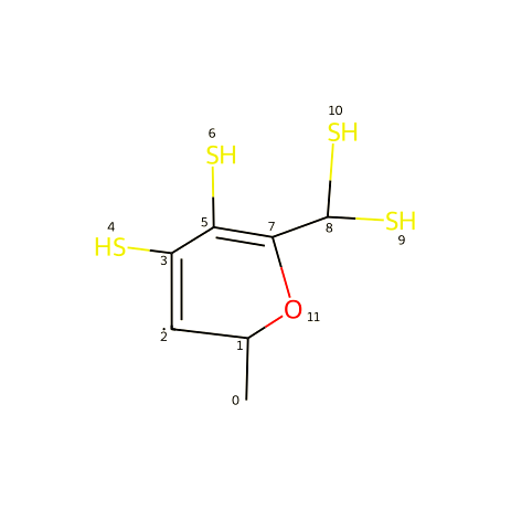 CC1[C]=C(S)C(S)=C(C(S)S)O1